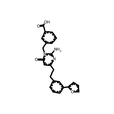 Nc1nc(CCc2cccc(-c3ccco3)c2)cc(=O)n1Cc1cccc(C(=O)O)c1